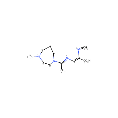 C=N/C(=C\N=C(/C)N1CCCN(C)CC1)C(=O)O